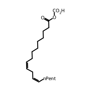 CCCCC/C=C\C/C=C\CCCCCCCC(=O)OC(=O)O